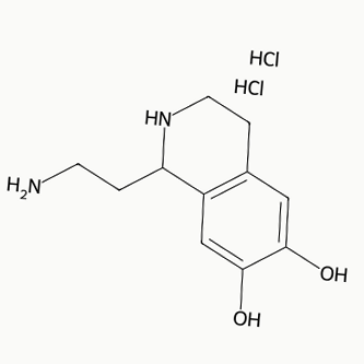 Cl.Cl.NCCC1NCCc2cc(O)c(O)cc21